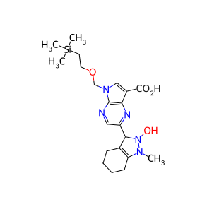 CN1C2=C(CCCC2)C(c2cnc3c(n2)c(C(=O)O)cn3COCC[Si](C)(C)C)N1O